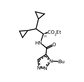 CCOC(=O)[C@@H](NC(=O)c1cnnn1C(C)CC)C(C1CC1)C1CC1